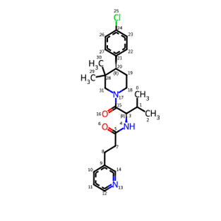 CC(C)[C@@H](NC(=O)CCc1cccnc1)C(=O)N1CC[C@H](c2ccc(Cl)cc2)C(C)(C)C1